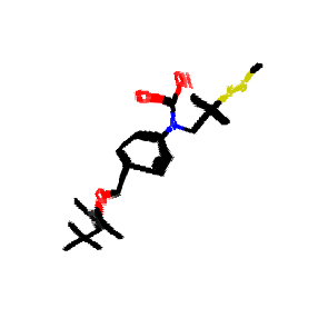 CSSC(C)(C)CN(C(=O)O)c1ccc(CO[Si](C)(C)C(C)(C)C)cc1